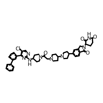 O=C1CCC(N2Cc3cc(C4CCN(C5CCN(CC(=O)N6CCC(Nc7ncc(Cl)c(-c8cccc(-c9ccccc9)c8)n7)CC6)CC5)CC4)ccc3C2=O)C(=O)N1